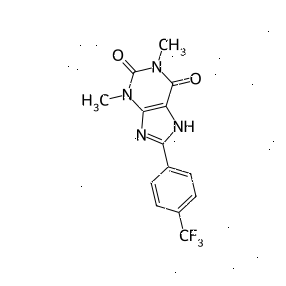 Cn1c(=O)c2[nH]c(-c3ccc(C(F)(F)F)cc3)nc2n(C)c1=O